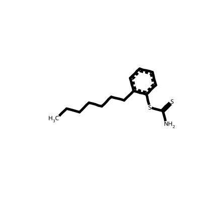 CCCCCCCc1ccccc1SC(N)=S